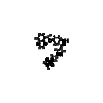 CC(Oc1ccc2[nH]nc(-c3cnn(C4CN(S(=O)(=O)N(C)C)C4)c3)c2c1)c1cccc2nccnc12